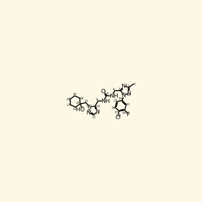 Cc1nc(CNC(=O)NCc2ncnn2CC2(O)CCCCC2)n(-c2ccc(Cl)c(F)c2)n1